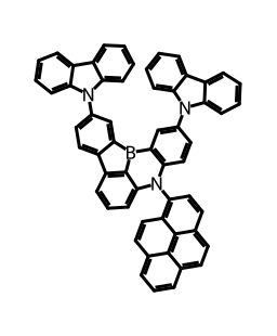 c1cc2c3c(c1)N(c1ccc4ccc5cccc6ccc1c4c56)c1ccc(-n4c5ccccc5c5ccccc54)cc1B3c1cc(-n3c4ccccc4c4ccccc43)ccc1-2